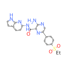 CCS(=O)(=O)c1ccc(-c2cnc(N)c(C(=O)Nc3ccc4cc[nH]c4n3)n2)cc1